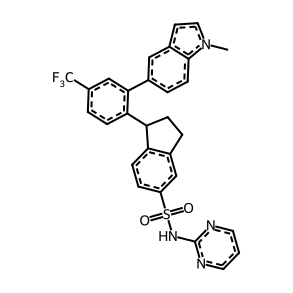 Cn1ccc2cc(-c3cc(C(F)(F)F)ccc3C3CCc4cc(S(=O)(=O)Nc5ncccn5)ccc43)ccc21